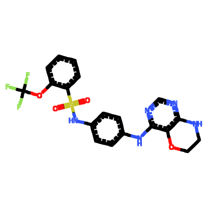 O=S(=O)(Nc1ccc(Nc2ncnc3c2OCCN3)cc1)c1ccccc1OC(F)(F)F